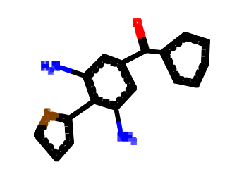 Nc1cc(C(=O)c2ccccc2)cc(N)c1-c1cccs1